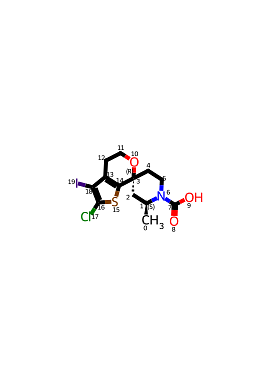 C[C@H]1C[C@@]2(CCN1C(=O)O)OCCc1c2sc(Cl)c1I